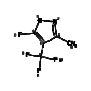 CC1=N[N]C(F)=C1C(F)(F)F